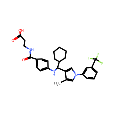 Cc1cn(-c2cccc(C(F)(F)F)c2)cc1C(Nc1ccc(C(=O)NCCC(=O)O)cc1)C1CCCCC1